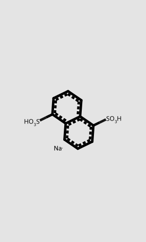 O=S(=O)(O)c1cccc2c(S(=O)(=O)O)cccc12.[Na]